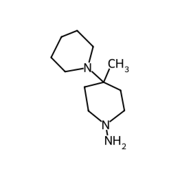 CC1(N2CCCCC2)CCN(N)CC1